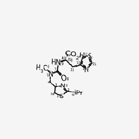 CC(C)C1=NC(CN(C)C(=O)N[C@@H](Cc2cscn2)C(=O)O)CS1